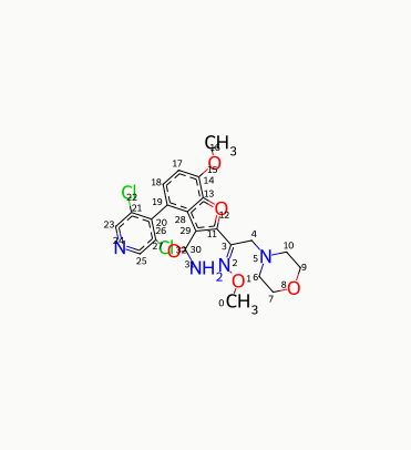 CON=C(CN1CCOCC1)c1oc2c(OC)ccc(-c3c(Cl)cncc3Cl)c2c1C(N)=O